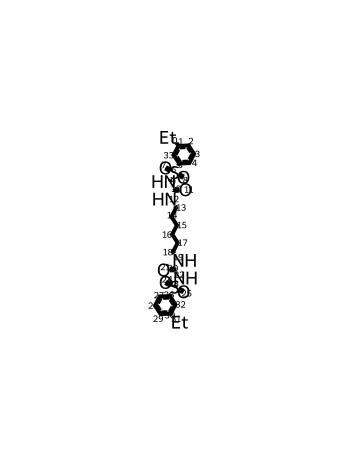 CCc1cccc(S(=O)(=O)NC(=O)NCCCCCCNC(=O)NS(=O)(=O)c2cccc(CC)c2)c1